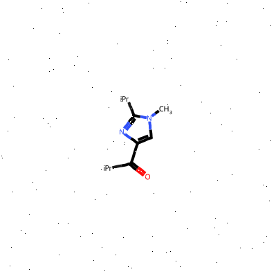 CC(C)C(=O)c1cn(C)c(C(C)C)n1